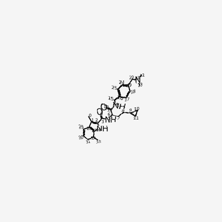 Cc1c(C(=O)NC(CCC2CC2)C(=O)NCc2ccc(CN(C)C)cc2)[nH]c2c1C=CCC2C